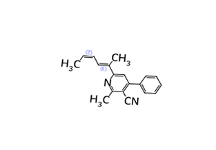 C/C=C\C=C(/C)c1cc(-c2ccccc2)c(C#N)c(C)n1